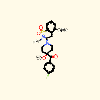 CCCN1C(N2CCC(OCC)(C(=O)c3ccc(F)cc3)CC2)Cc2c(OC)cccc2S1(=O)=O